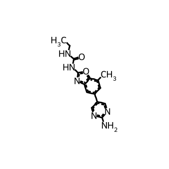 CCNC(=O)Nc1nc2cc(-c3cnc(N)nc3)cc(C)c2o1